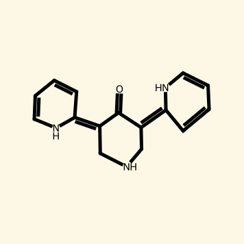 O=C1C(=C2C=CC=CN2)CNCC1=C1C=CC=CN1